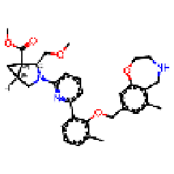 COC[C@H]1N(c2cccc(-c3cccc(C)c3OCc3cc(C)c4c(c3)OCCNC4)n2)C[C@@H]2C[C@@]21C(=O)OC